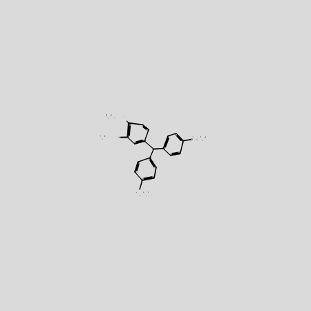 CNc1ccc(C(c2ccc(NC)cc2)c2ccc(OC)c(OC)c2)cc1